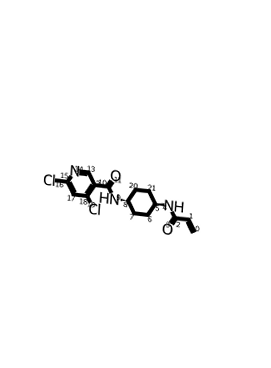 C=CC(=O)N[C@H]1CC[C@H](NC(=O)c2cnc(Cl)cc2Cl)CC1